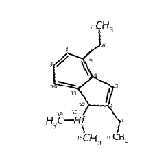 CCC1=Cc2c(CC)cccc2[CH]1[Hf]([CH3])[CH3]